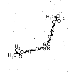 C=C(C)C(=O)OCCOCCOCCOS(=O)(=O)OCCOCCOCCOC(=O)C(=C)C